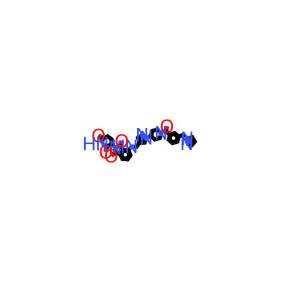 O=C1CCC(N2C(=O)c3cccc(NCc4cnn(C5CCN(C(=O)c6cccc(Cn7cccn7)c6)CC5)c4)c3C2=O)C(=O)N1